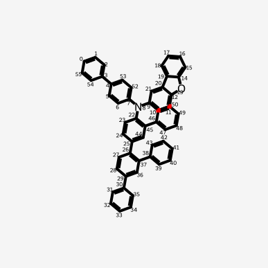 c1ccc(-c2ccc(N(c3ccc4oc5ccccc5c4c3)c3ccc(-c4ccc(-c5ccccc5)cc4-c4ccccc4)cc3-c3ccccc3)cc2)cc1